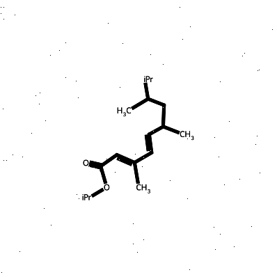 CC(C=CC(C)CC(C)C(C)C)=CC(=O)OC(C)C